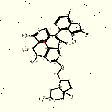 C[C@H](c1cncnc1N)N(C)c1nc(OC[C@H]2CC[C@@H]3CO[C@@H](C)CN23)nc2c(F)c(-c3ccc(F)c4sc(N)c(C#N)c34)c(Cl)cc12